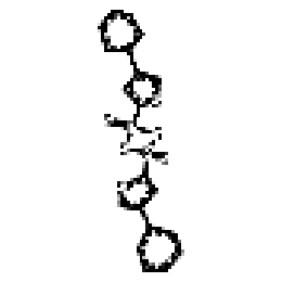 S=P1(c2cc(-c3ccccc3)cs2)SP(=S)(c2cc(-c3ccccc3)cs2)S1